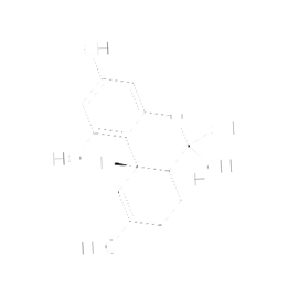 CC1=C[C@@H]2c3c(O)cc(C)cc3OC(C)(C)[C@H]2CC1